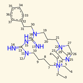 CC[N+](CC)(CC)CCCCN(C)C(=N)NC(=N)N(CCC[N+]12CCN(CC1)CC2)CCc1ccccc1